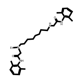 CCN(CCCCCCCCNCC(=O)Nc1c(C)cccc1C)CC(=O)Nc1c(C)cccc1C